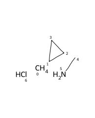 C.C1CC1.CN.Cl